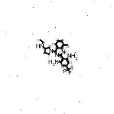 CCNC1CCN(c2nc(-c3c(N)cc(C(F)(F)F)cc3N)nc3c(C)cccc23)C1